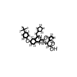 CC(C)(C)c1ccc(Oc2ccc3cc(C(=O)NC(CC(=O)O)c4cccs4)nc(CC4CCCC4)c3c2)cc1